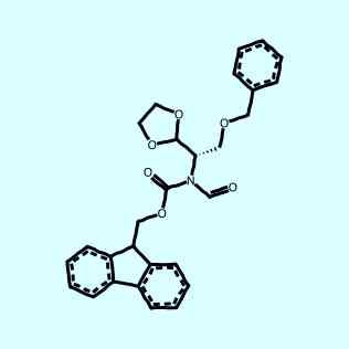 O=CN(C(=O)OCC1c2ccccc2-c2ccccc21)[C@@H](COCc1ccccc1)C1OCCO1